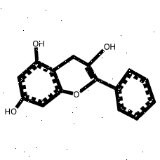 OC1=C(c2ccccc2)Oc2cc(O)cc(O)c2C1